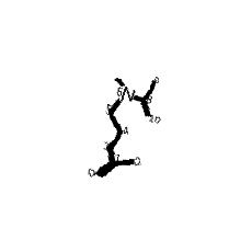 C=C(C)CCCN(C)C(C)C